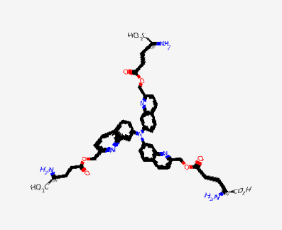 N[C@@H](CCC(=O)OCc1ccc2ccc(N(c3ccc4ccc(COC(=O)CC[C@H](N)C(=O)O)nc4c3)c3ccc4ccc(COC(=O)CC[C@H](N)C(=O)O)nc4c3)cc2n1)C(=O)O